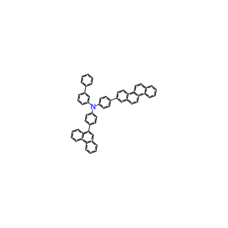 c1ccc(-c2cccc(N(c3ccc(-c4ccc5c(ccc6c7ccccc7ccc56)c4)cc3)c3ccc(-c4cc5ccccc5c5ccccc45)cc3)c2)cc1